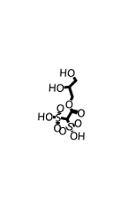 O=C(OCC(O)CO)C(S(=O)(=O)O)S(=O)(=O)O